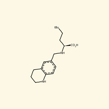 CC(C)(C)CC[C@H](NCc1ccc2c(c1)CCCN2)C(=O)O